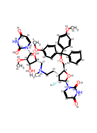 COc1ccc(C(OC[C@H]2O[C@@H](n3ccc(=O)[nH]c3=O)[C@H](F)[C@@H]2CCN(C)C[C@H]2O[C@@H](n3ccc(=O)[nH]c3=O)[C@H](OC)[C@@H]2O)(c2ccccc2)c2ccc(OC)cc2)cc1